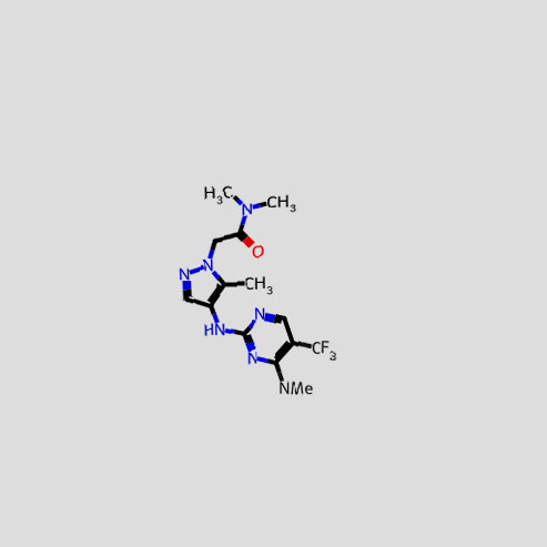 CNc1nc(Nc2cnn(CC(=O)N(C)C)c2C)ncc1C(F)(F)F